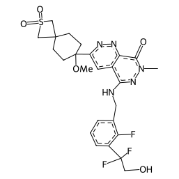 COC1(c2cc3c(NCc4cccc(C(F)(F)CO)c4F)nn(C)c(=O)c3nn2)CCC2(CC1)CS(=O)(=O)C2